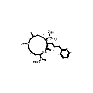 CC(=O)N1CCCC(N(C)C=O)NC(=O)C(CCCc2ccccc2)C(N(O)C=O)OCC(C)C1